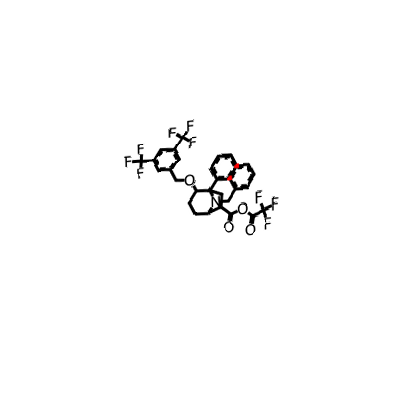 O=C(OC(=O)C(F)(F)F)C1CC2(c3ccccc3)C(OCc3cc(C(F)(F)F)cc(C(F)(F)F)c3)CCC1N2Cc1ccccc1